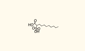 CCCCCCCCCC(C(=O)O)S(=O)(=O)O